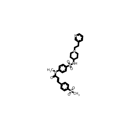 CN(C(=O)C=Cc1ccc(S(C)(=O)=O)cc1)c1ccc(S(=O)(=O)NC2CCN(CCc3cccnc3)CC2)cc1